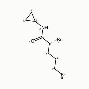 O=C(NC1CC1)[C@H](Br)CCCBr